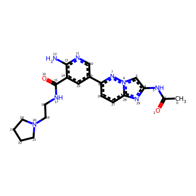 CC(=O)Nc1cn2nc(-c3cnc(N)c(C(=O)NCCN4CCCC4)c3)ccc2n1